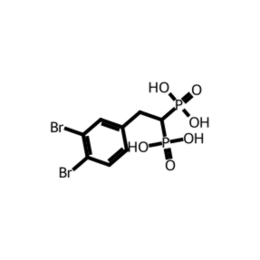 O=P(O)(O)C(Cc1ccc(Br)c(Br)c1)P(=O)(O)O